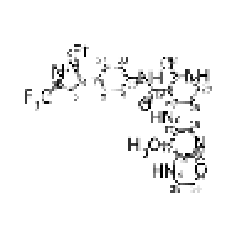 CCn1nc(C(F)(F)F)cc1-c1ccc(NC(=O)c2c(Nc3cnc4c(c3C)NCCO4)cc[nH]c2=O)cc1